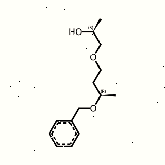 C[C@H](O)COCC[C@@H](C)OCc1ccccc1